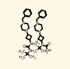 CC(C)(C)N(C(=O)O)C1CC(N2CCN(Cc3ccccc3)CC2)C1.CC(C)(C)OC(=O)NC1CC(N2CCN(Cc3ccccc3)CC2)C1